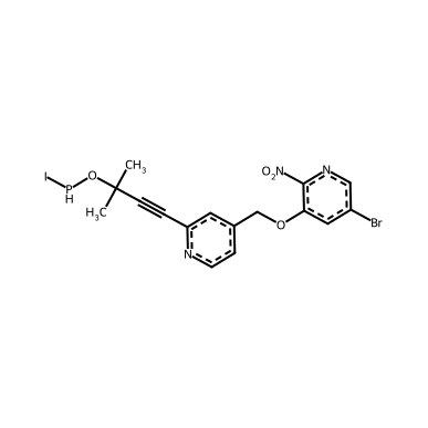 CC(C)(C#Cc1cc(COc2cc(Br)cnc2[N+](=O)[O-])ccn1)OPI